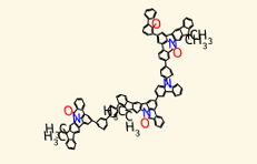 CC1(C)c2ccccc2-c2cc3c4cc(-c5cccc(-c6ccc(-c7cccc8c7C(C)(C)c7cc9c(cc7-8)c7cc(-c8ccc%10c(c8)c8ccccc8n%10-c8ccc(-c%10ccc%11c(c%10)c(=O)n%10c%12cc%13c(cc%12c%12cc(-c%14cccc%15c%14oc%14ccccc%14%15)cc%11c%12%10)-c%10ccccc%10C%13(C)C)cc8)cc8c%10ccccc%10c(=O)n9c87)cc6)c5)cc5c6ccccc6c(=O)n(c3cc21)c54